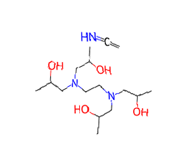 C=C=N.CC(O)CN(CCN(CC(C)O)CC(C)O)CC(C)O